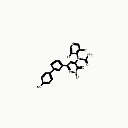 CCn1nc(-c2cccc(-c3ccc(C#N)cc3)c2)cc(N(C(N)=O)c2c(Cl)cncc2Cl)c1=O